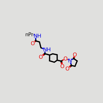 CCCNC(=O)CCNC(=O)C1CCC(C(=O)ON2C(=O)CCC2=O)CC1